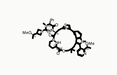 CO[C@@H](C)c1ncccc1-c1c2c3cc(ccc3n1C)-c1csc(n1)C[C@H](NC(=O)[C@H](C(C)C)N(C)C(=O)N1CC([C@H](C)OC)C1)C(=O)N1CCC[C@@](O)(N1)C(=O)OCC(C)(C)C2